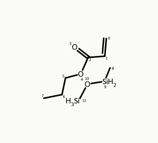 C=CC(=O)OCCC.C[SiH2]O[SiH3]